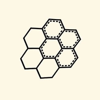 c1cc2ccc3ccc4c5c6c7c(c1CCC7CCC6CC4)c2c35